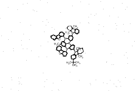 Cc1cc2c3c(c1)N(c1cccc4oc5ccccc5c14)c1cc(N4c5ccc(C(C)(C)C)cc5C5(C)CCCCC45C)ccc1B3c1ccc(N3c4ccccc4C4(C)CCCCC34C)cc1N2c1cccc2c1oc1ccccc12